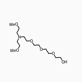 COCCN(CCOC)CCOCCOCCOCCO